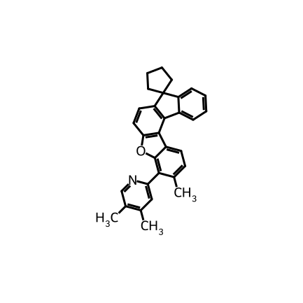 Cc1cnc(-c2c(C)ccc3c2oc2ccc4c(c23)-c2ccccc2C42CCCC2)cc1C